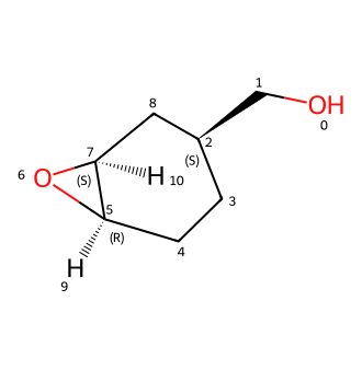 OC[C@H]1CC[C@H]2O[C@H]2C1